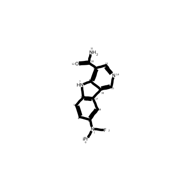 CC(C)N(F)c1ccc2[nH]c3c(C(N)=O)cncc3c2c1